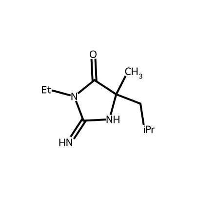 CCN1C(=N)NC(C)(CC(C)C)C1=O